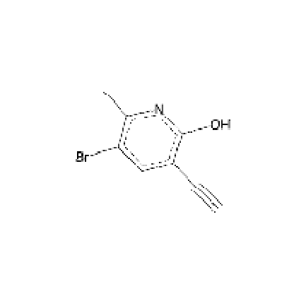 C#Cc1cc(Br)c(C)nc1O